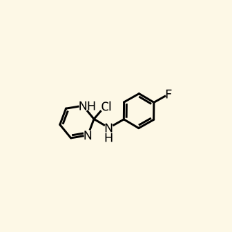 Fc1ccc(NC2(Cl)N=CC=CN2)cc1